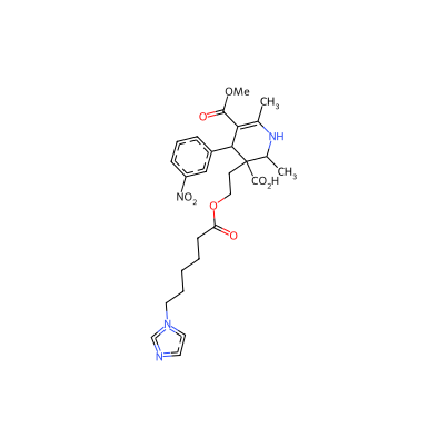 COC(=O)C1=C(C)NC(C)C(CCOC(=O)CCCCCn2ccnc2)(C(=O)O)C1c1cccc([N+](=O)[O-])c1